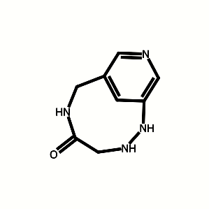 O=C1CNNc2cncc(c2)CN1